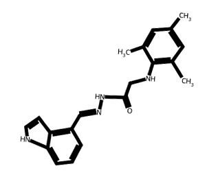 Cc1cc(C)c(NCC(=O)NN=Cc2cccc3[nH]ccc23)c(C)c1